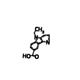 CCn1c2ccc(C(=O)O)cc2c2ncccc21